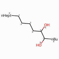 CCCCCCCCCCCC(O)C(O)CCCC